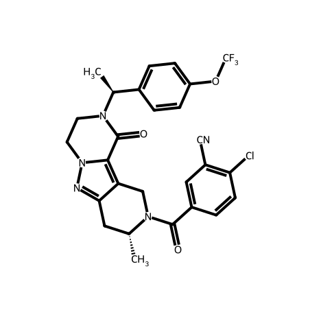 C[C@@H]1Cc2nn3c(c2CN1C(=O)c1ccc(Cl)c(C#N)c1)C(=O)N([C@@H](C)c1ccc(OC(F)(F)F)cc1)CC3